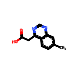 Cc1ccc2c(CC(=O)O)ncnc2c1